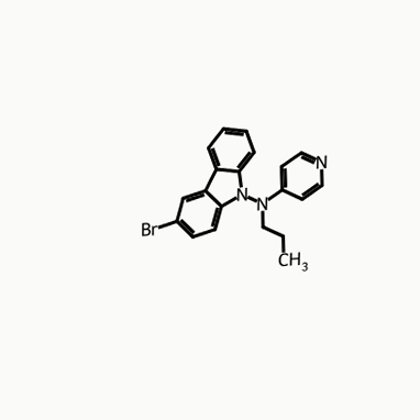 CCCN(c1ccncc1)n1c2ccccc2c2cc(Br)ccc21